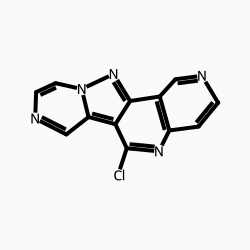 Clc1nc2ccncc2c2nn3ccncc3c12